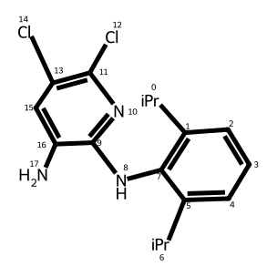 CC(C)c1cccc(C(C)C)c1Nc1nc(Cl)c(Cl)cc1N